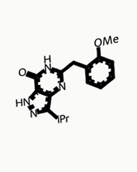 COc1ccccc1Cc1nc2c(C(C)C)n[nH]c2c(=O)[nH]1